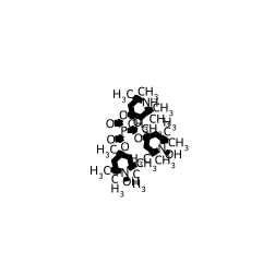 CC1(C)CC(C)(OC(=O)P(C(=O)OC2(C)CC(C)(C)N(O)C(C)(C)C2)C(=O)OC2(C)CC(C)(C)N(O)C(C)(C)C2)CC(C)(C)N1